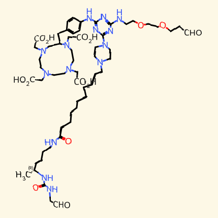 C[C@H](CCCCNC(=O)CCCCCCCCCCN1CCN(c2nc(NCCOCCOCCC=O)nc(Nc3ccc(CC4CN(CC(=O)O)CCN(CC(=O)O)CCN(CC(=O)O)CCN4CC(=O)O)cc3)n2)CC1)NC(=O)NCC=O